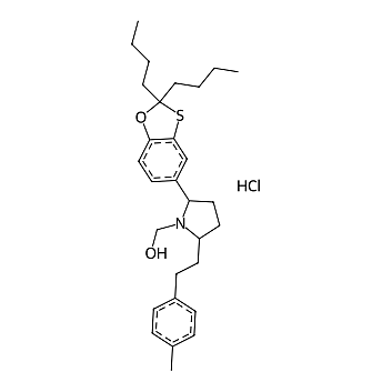 CCCCC1(CCCC)Oc2ccc(C3CCC(CCc4ccc(C)cc4)N3CO)cc2S1.Cl